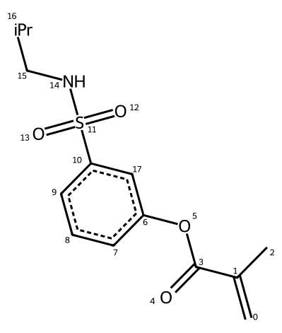 C=C(C)C(=O)Oc1cccc(S(=O)(=O)NCC(C)C)c1